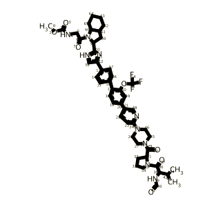 COC(=O)NCC(=O)N1C(c2nc(-c3ccc(-c4ccc(-c5ccc(N6CCN(C(=O)C7CCCN7C(=O)C(NC=O)C(C)C)CC6)nc5)cc4OC(F)(F)F)cc3)c[nH]2)CC2CCCCC21